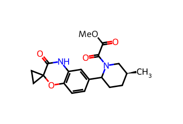 COC(=O)C(=O)N1C[C@@H](C)CCC1c1ccc2c(c1)NC(=O)C1(CC1)O2